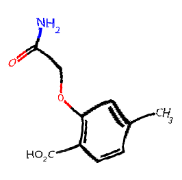 Cc1ccc(C(=O)O)c(OCC(N)=O)c1